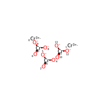 [Cr+3].[Cr+3].[O]=[Cr]([O-])[O-].[O]=[Cr]([O-])[O-].[O]=[Cr]([O-])[O-]